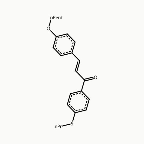 CCCCCOc1ccc(/C=C/C(=O)c2ccc(SCCC)cc2)cc1